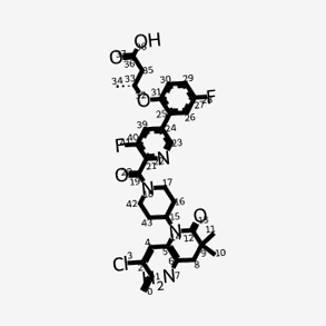 C=C/C(Cl)=C\C1=C(N)CC(C)(C)C(=O)N1C1CCN(C(=O)c2ncc(-c3cc(F)ccc3O[C@H](C)CC(=O)O)cc2F)CC1